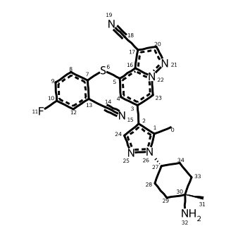 Cc1c(-c2cc(Sc3ccc(F)cc3C#N)c3c(C#N)cnn3c2)cnn1[C@H]1CC[C@@](C)(N)CC1